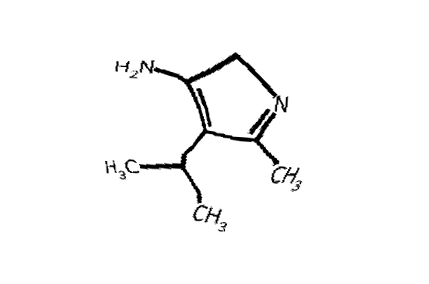 CC1=NCC(N)=C1C(C)C